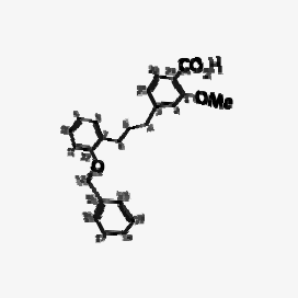 COc1cc(CCCc2ccccc2OCc2ccccc2)ccc1C(=O)O